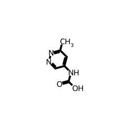 Cc1cc(NC(=O)O)cnn1